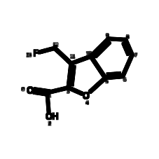 O=C(O)c1oc2ccccc2c1CF